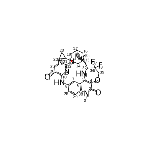 Cn1c(=O)c2c(c3cc(Nc4nc(N5CC6CC(C5)N6CC5CC5)ncc4Cl)ccc31)N[C@@H](C1CC1)C(F)(F)CO2